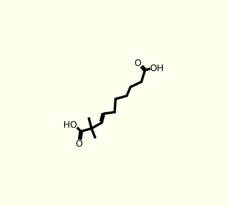 CC(C)(C=CCCCCCC(=O)O)C(=O)O